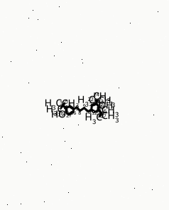 CC(C)(C)c1cc(CCCCc2cc(C(C)(C)C)c(O)c(C(C)(C)C)c2)ccc1O